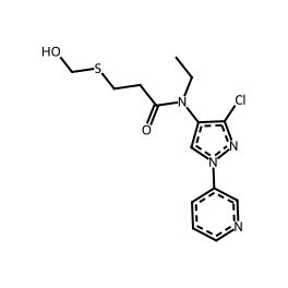 CCN(C(=O)CCSCO)c1cn(-c2cccnc2)nc1Cl